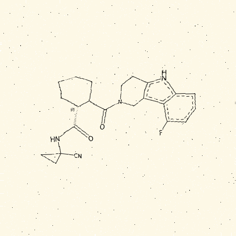 N#CC1(NC(=O)[C@@H]2CCCCC2C(=O)N2CCc3[nH]c4cccc(F)c4c3C2)CC1